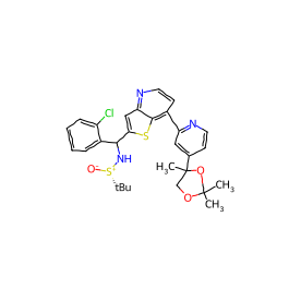 CC1(C)OCC(C)(c2ccnc(-c3ccnc4cc(C(N[S@@+]([O-])C(C)(C)C)c5ccccc5Cl)sc34)c2)O1